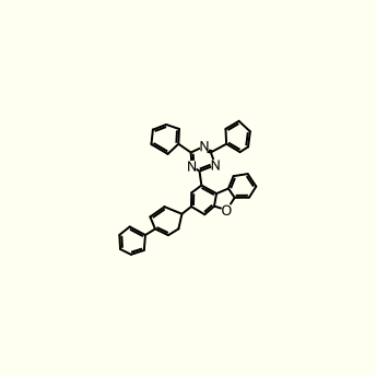 C1=CC(c2cc(-c3nc(-c4ccccc4)nc(-c4ccccc4)n3)c3c(c2)oc2ccccc23)CC=C1c1ccccc1